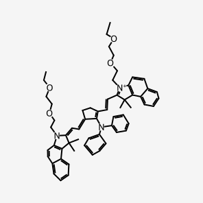 CCOCCOCCN1/C(=C/C=C2\CCC(/C=C/C3=[N+](CCOCCOCC)c4ccc5ccccc5c4C3(C)C)=C2N(c2ccccc2)c2ccccc2)C(C)(C)c2c1ccc1ccccc21